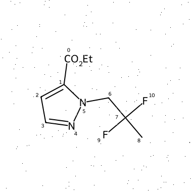 CCOC(=O)c1ccnn1CC(C)(F)F